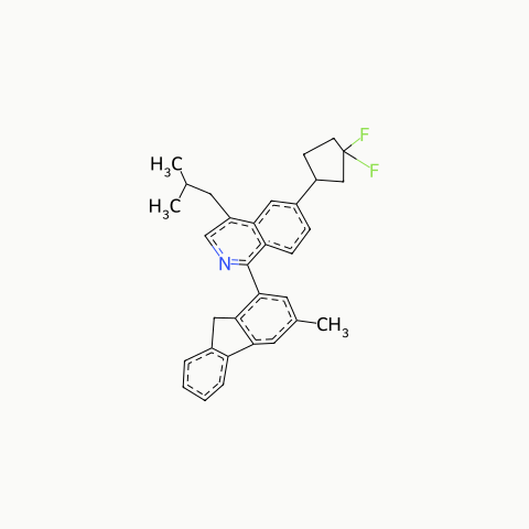 Cc1cc2c(c(-c3ncc(CC(C)C)c4cc(C5CCC(F)(F)C5)ccc34)c1)Cc1ccccc1-2